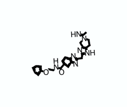 CC(=N)N1CCc2[nH]c(Cc3nc4ccc(C(=O)NCCOc5ccccc5)cc4n3C)nc2C1